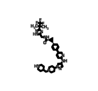 CC(C)(c1n[nH]c(CNC(=O)[C@H]2C[C@@H]2c2ccc(-c3ccc(Nc4cnn(C5CCN(CC6CCNCC6)CC5)c4)nc3)cc2)n1)C(F)(F)F